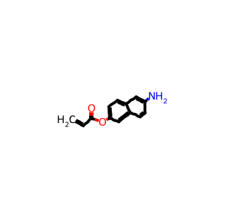 C=CC(=O)Oc1ccc2cc(N)ccc2c1